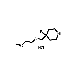 COCCOCC1(F)CCNCC1.Cl